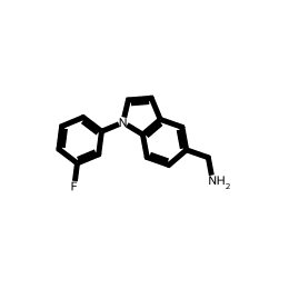 NCc1ccc2c(ccn2-c2cccc(F)c2)c1